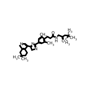 Cc1cc(C2=NCC(c3cncc4c3CCC(C)(C)C4)=N2)cc(C)c1CCC(=O)NCC(=O)CC(C)(C)C